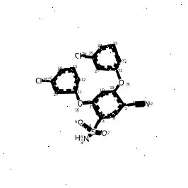 N#Cc1cc(S(N)(=O)=O)c(Oc2cccc(Cl)c2)cc1Oc1cccc(Cl)c1